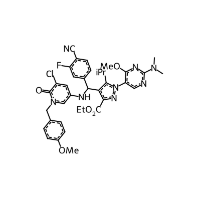 CCOC(=O)c1nn(-c2cnc(N(C)C)nc2OC)c(C(C)C)c1C(Nc1cc(Cl)c(=O)n(Cc2ccc(OC)cc2)c1)c1ccc(C#N)c(F)c1